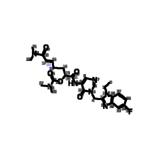 CCn1c(Cn2cncc(NC(=O)[C@H](CC/C=C/C(=O)N(C)C)OC(=O)N(C)C)c2=O)nc2cc(F)ccc21